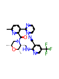 Cc1ccc(-c2ncccn2)c(C(=O)N2C[C@@H](C)O[C@@H](C)[C@H]2CNc2ncc(C(F)(F)F)cc2C#N)n1